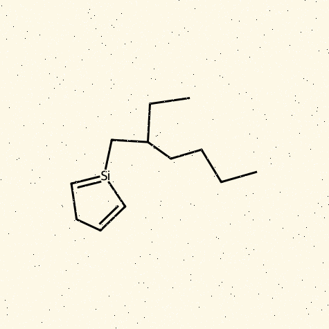 CCCCC(CC)C[Si]1=CCC=C1